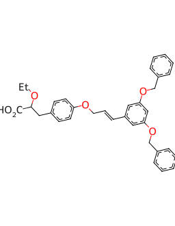 CCOC(Cc1ccc(OCC=Cc2cc(OCc3ccccc3)cc(OCc3ccccc3)c2)cc1)C(=O)O